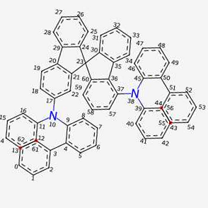 c1ccc(-c2ccccc2N(c2ccccc2)c2ccc3c(c2)C2(c4ccccc4-3)c3ccccc3-c3c(N(c4ccccc4)c4ccccc4-c4ccccc4)cccc32)cc1